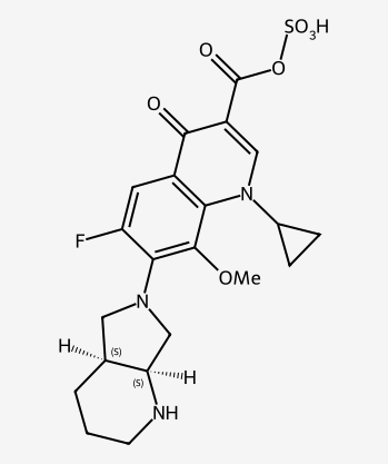 COc1c(N2C[C@@H]3CCCN[C@@H]3C2)c(F)cc2c(=O)c(C(=O)OS(=O)(=O)O)cn(C3CC3)c12